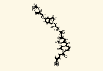 CC1(CCC(=O)N2CCC(Cc3cc(C(=O)NC[C@H](O)CN4CCc5cc(OCc6cnco6)ccc5C4)ncn3)CC2)N=N1